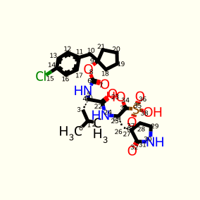 CC(C)C[C@H](NC(=O)OC1(Cc2ccc(Cl)cc2)CCCC1)C(=O)N[C@@H](C[C@@H]1CCNC1=O)C(O)S(=O)(=O)O